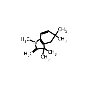 C=C1N(C)C2=C(CC(C)(C)C=C2)C1(C)C